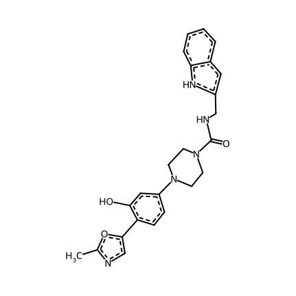 Cc1ncc(-c2ccc(N3CCN(C(=O)NCc4cc5ccccc5[nH]4)CC3)cc2O)o1